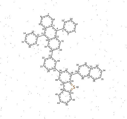 c1ccc(-c2c3ccccc3c(-c3ccccc3)c3cc(-c4cccc(-c5cc(-c6ccc7ccccc7c6)c6sc7ccccc7c6c5)c4)ccc23)cc1